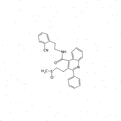 C[S+]([O-])CCc1c(-c2ccccc2)nc2ccccc2c1C(=O)NCCc1ccccc1C#N